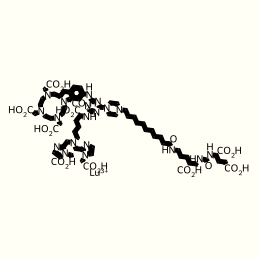 O=C(O)CC[C@H](NC(=O)N[C@@H](CCCCNC(=O)CCCCCCCCCCN1CCN(c2nc(Nc3ccc(CC4CN(CC(=O)O)CCN(CC(=O)O)CCN(CC(=O)O)CCN4CC(=O)O)cc3)nc(N[C@@H](CCCCN(Cc3nccn3CC(=O)O)Cc3nccn3CC(=O)O)C(=O)O)n2)CC1)C(=O)O)C(=O)O.[Lu+3]